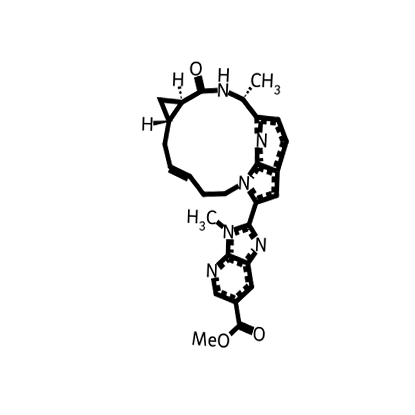 COC(=O)c1cnc2c(c1)nc(-c1cc3ccc4nc3n1CC/C=C/C[C@@H]1C[C@H]1C(=O)N[C@@H]4C)n2C